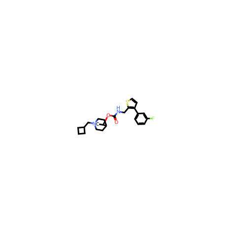 O=C(NCc1sccc1-c1cccc(F)c1)OC1C[N+]2(CC3CCC3)CCC1CC2